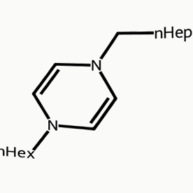 CCCCCCCCN1C=CN(CCCCCC)C=C1